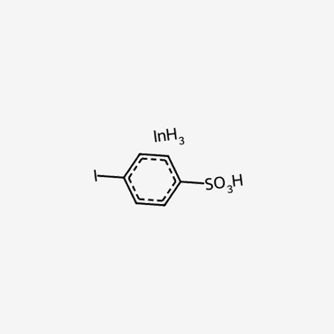 O=S(=O)(O)c1ccc(I)cc1.[InH3]